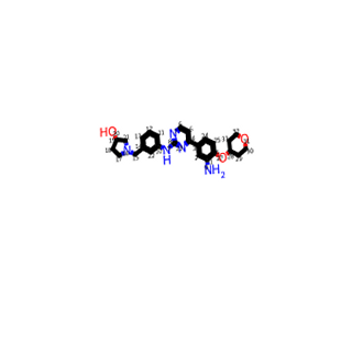 Nc1cc(-c2ccnc(Nc3cccc(CN4CCC(O)C4)c3)n2)ccc1OC1CCOCC1